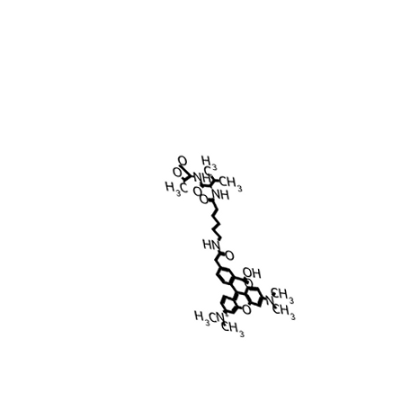 CC(C)[C@H](NC(=O)CCCCCNC(=O)Cc1ccc(-c2c3ccc(=[N+](C)C)cc-3oc3cc(N(C)C)ccc23)c(C(=O)O)c1)C(=O)N[C@@H]1C(=O)O[C@@H]1C